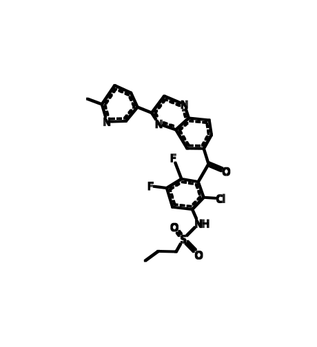 CCCS(=O)(=O)Nc1cc(F)c(F)c(C(=O)c2ccc3ncc(-c4ccc(C)nc4)nc3c2)c1Cl